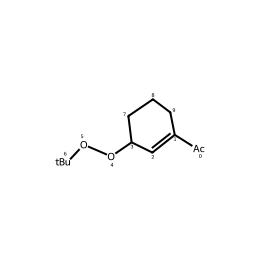 CC(=O)C1=CC(OOC(C)(C)C)CCC1